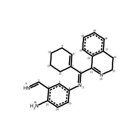 N=Cc1cc(/N=C(\C2=CCCCC2)C2=NCCc3ccccc32)ccc1N